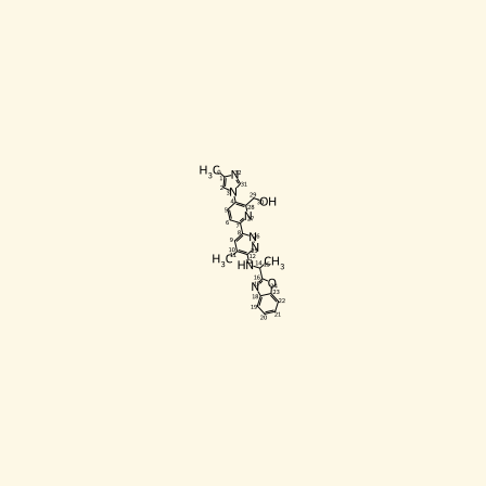 Cc1cn(-c2ccc(-c3cc(C)c(NC(C)c4nc5ccccc5o4)nn3)nc2CO)cn1